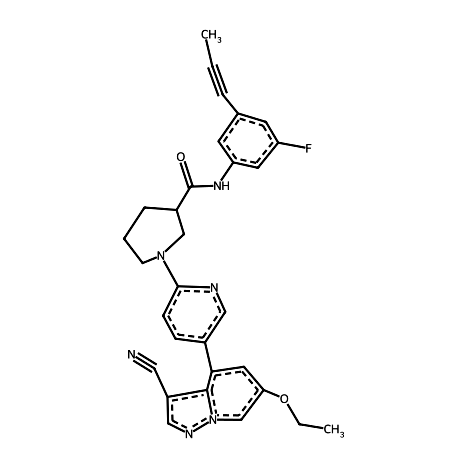 CC#Cc1cc(F)cc(NC(=O)C2CCCN(c3ccc(-c4cc(OCC)cn5ncc(C#N)c45)cn3)C2)c1